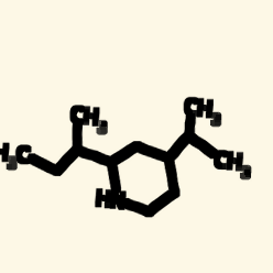 CCC(C)C1CC(C(C)C)CCN1